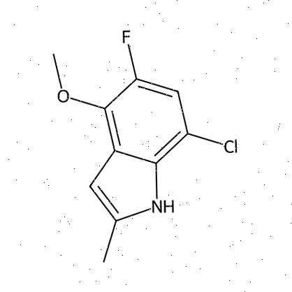 COc1c(F)cc(Cl)c2[nH]c(C)cc12